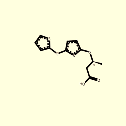 C[C@@H](CC(=O)O)Sc1ccc(Sc2cccs2)s1